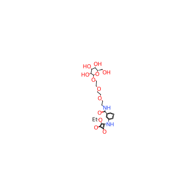 CCOc1c(Nc2cccc(C(=O)NCCOCCOCCOC3O[C@H](CO)[C@@H](O)[C@H](O)[C@@H]3O)c2)c(=O)c1=O